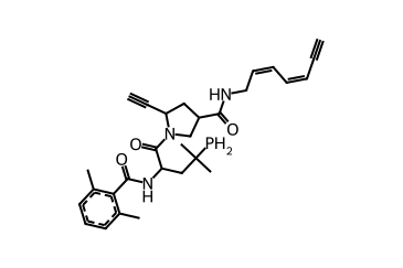 C#C/C=C\C=C/CNC(=O)C1CC(C#C)N(C(=O)C(CC(C)(C)P)NC(=O)c2c(C)cccc2C)C1